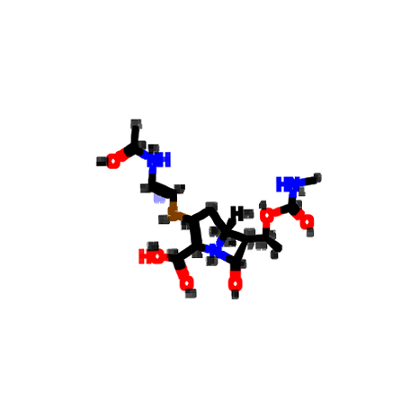 CNC(=O)O[C@@H](C)[C@H]1C(=O)N2C(C(=O)O)=C(S/C=C/NC(C)=O)C[C@H]12